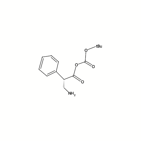 CC(C)(C)OC(=O)OC(=O)[C@H](CN)c1ccccc1